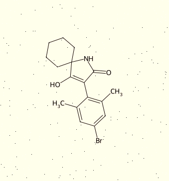 Cc1cc(Br)cc(C)c1C1=C(O)C2(CCCCC2)NC1=O